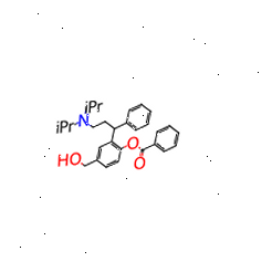 CC(C)N(CCC(c1ccccc1)c1cc(CO)ccc1OC(=O)c1ccccc1)C(C)C